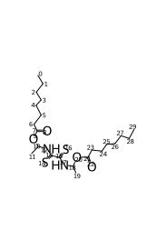 CCCCCCCC(=O)OC(C)NC(=S)C(=S)NC(C)OC(=O)CCCCCCC